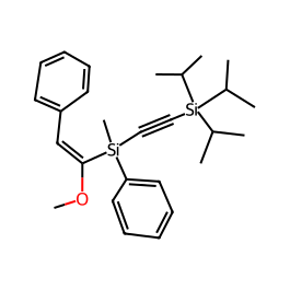 COC(=Cc1ccccc1)[Si](C)(C#C[Si](C(C)C)(C(C)C)C(C)C)c1ccccc1